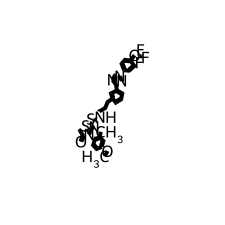 COc1ccc(N2C(=O)CS/C2=N\C(=S)NCCCc2cccc(-c3ncn(-c4ccc(OC(F)(F)F)cc4)n3)c2)c(C)c1